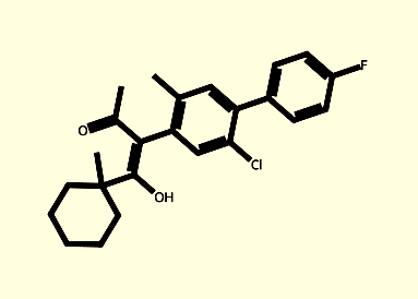 CC(=O)/C(=C(/O)C1(C)CCCCC1)c1cc(Cl)c(-c2ccc(F)cc2)cc1C